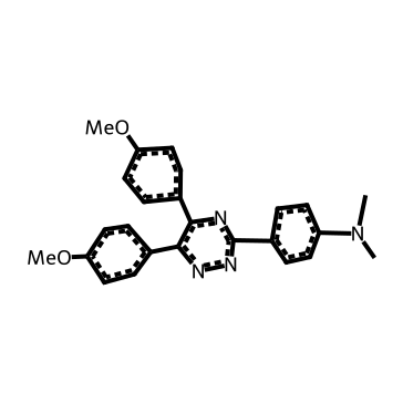 COc1ccc(-c2nnc(-c3ccc(N(C)C)cc3)nc2-c2ccc(OC)cc2)cc1